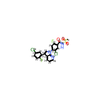 CS(=O)(=O)NC(=O)c1cc(Cl)c(-n2cc(-c3cc(Cl)ccc3F)c3cccnc32)cc1F